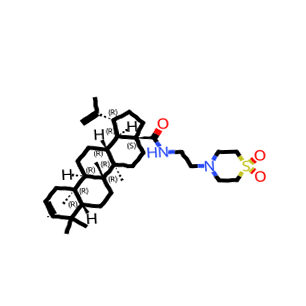 C=C(C)[C@@H]1CC[C@]2(C(=O)NCCN3CCS(=O)(=O)CC3)CC[C@]3(C)[C@H](CC[C@@H]4[C@]5(C)CC=[C]C(C)(C)[C@H]5CC[C@]43C)[C@@H]12